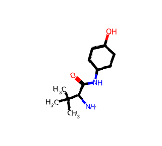 CC(C)(C)C([NH])C(=O)NC1CCC(O)CC1